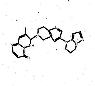 CC1=Cc2nccc(=O)n2NC1N1CCc2ncc(N3CCCn4nccc43)cc2C1